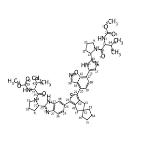 COC(=O)NC(C(=O)N1CCCC1c1ncc(-c2ccc(-c3sc(-c4ccc5nc(C6CCCN6C(=O)C(NC(=O)OC)C(C)C)[nH]c5c4)c4c3CC3(CCCC3)C4)c3cnoc23)[nH]1)C(C)C